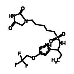 CCC(NS(=O)(=O)CCCCCN1CC(=O)NC1=O)c1cc(OCC(F)(F)F)c[nH]1